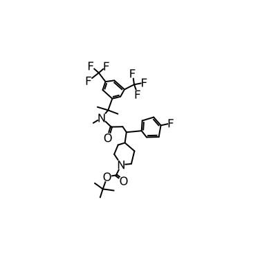 CN(C(=O)CC(c1ccc(F)cc1)C1CCN(C(=O)OC(C)(C)C)CC1)C(C)(C)c1cc(C(F)(F)F)cc(C(F)(F)F)c1